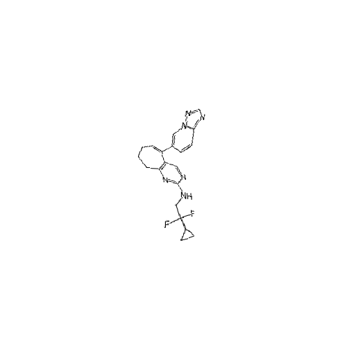 FC(F)(CNc1ncc2c(n1)CCCC=C2c1ccc2ncnn2c1)C1CC1